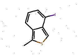 [CH2]c1scc2c(I)cccc12